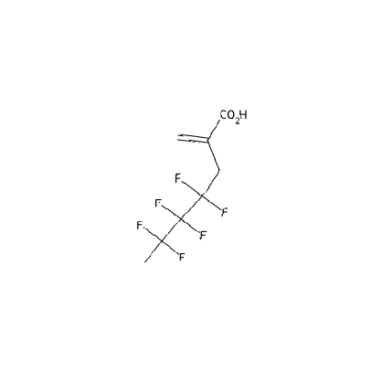 C=C(CC(F)(F)C(F)(F)C(C)(F)F)C(=O)O